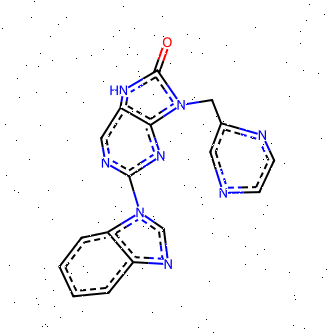 O=c1[nH]c2cnc(-n3cnc4ccccc43)nc2n1Cc1cnccn1